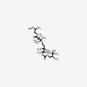 CC(C)OC(C)COC(=O)C(C)(C)C(C)(C)OCCC(C)(C)C(C)(C)OC(=O)OCC(C)C(C)(C)O